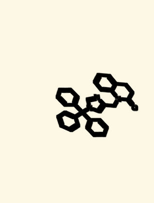 O=C1CCc2ccccc2N1Cc1cn(C(c2ccccc2)(c2ccccc2)c2ccccc2)cn1